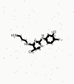 NCCCNc1nc(Nc2ccc(F)c(Cl)c2)ncc1Cl